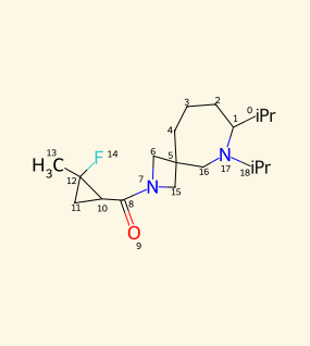 CC(C)C1CCCC2(CN(C(=O)C3CC3(C)F)C2)CN1C(C)C